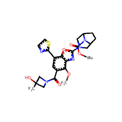 CC(C)(C)OC(=O)N1C2CCC1CN(c1nc3c(OC(F)(F)F)c(C(=O)N4CC(O)(C(F)(F)F)C4)cc(-c4nccs4)c3o1)C2